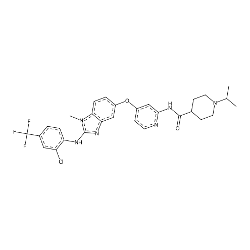 CC(C)N1CCC(C(=O)Nc2cc(Oc3ccc4c(c3)nc(Nc3ccc(C(F)(F)F)cc3Cl)n4C)ccn2)CC1